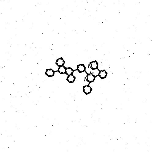 c1ccc(-c2cc(-c3ccccc3-c3cccnc3)nc(-c3cccc(-c4cc5c6ccccc6c(-c6ccccc6)cc5c5ccccc45)c3)n2)cc1